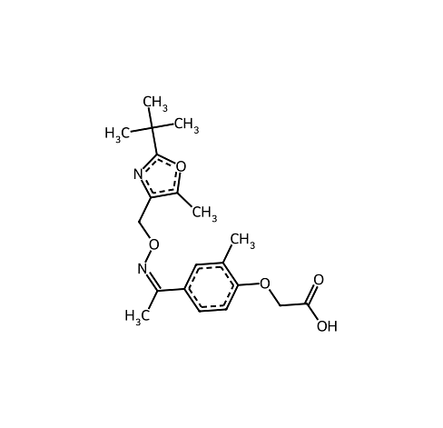 C/C(=N/OCc1nc(C(C)(C)C)oc1C)c1ccc(OCC(=O)O)c(C)c1